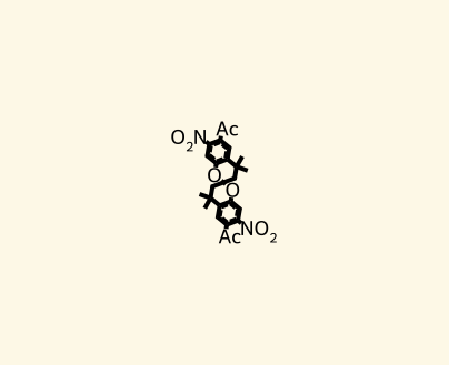 CC(=O)c1cc2c(cc1[N+](=O)[O-])OC1(CC2(C)C)CC(C)(C)c2cc(C(C)=O)c([N+](=O)[O-])cc2O1